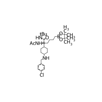 CC(=O)N[C@](CCCCB1OC(C)(C)C(C)(C)O1)(C(=O)NC(C)(C)C)C1CCC(NCc2ccc(Cl)cc2)CC1